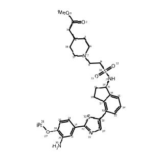 COC(=O)CC1CCN(CCS(=O)(=O)N[C@@H]2CCc3c(-c4cnc(-c5ccc(OC(C)C)c(N)c5)s4)cccc32)CC1